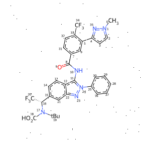 Cn1ccc(-c2cc(C(=O)Nc3c4ccc([C@H](N(C(=O)O)C(C)(C)C)C(F)(F)F)cc4nn3-c3ccccc3)ccc2C(F)(F)F)n1